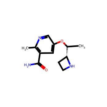 Cc1ncc(OC(C)[C@H]2CCN2)cc1C(N)=O